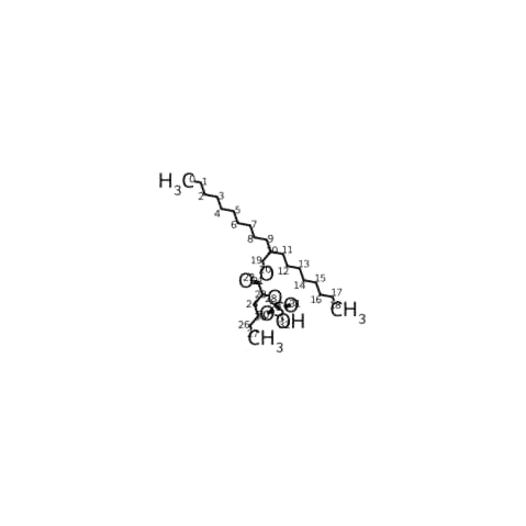 CCCCCCCCCCC(CCCCCCCC)COC(=O)C(CCCC)OS(=O)(=O)O